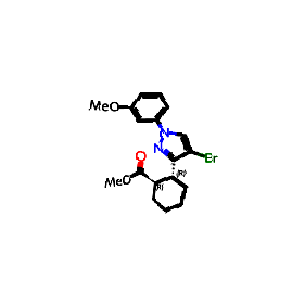 COC(=O)[C@@H]1CCCC[C@H]1c1nn(-c2cccc(OC)c2)cc1Br